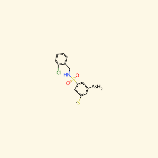 O=S(=O)(NCc1ccccc1Cl)c1cc([S])cc([AsH2])c1